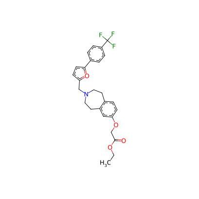 CCOC(=O)COc1ccc2c(c1)CCN(Cc1ccc(-c3ccc(C(F)(F)F)cc3)o1)CC2